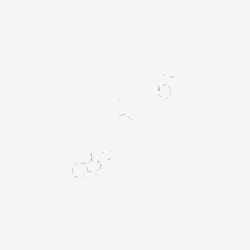 CCn1cc(S(=O)(=O)N2CCC3(CC2)C[C@@H](N(C[C@H](O)COc2cccc(S(=O)(=O)C4CC4)c2)C(=O)OC(C)(C)C)CO3)c(=O)c2cccc(F)c21